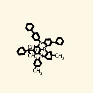 Cc1ccc(N2c3ccc(C)cc3B3c4cc(-c5ccccc5)ccc4N(c4ccc(-c5ccccc5)cc4)c4cc(C(C)(C)c5ccccc5)cc2c43)cc1